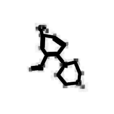 C=Nc1cc(C(F)(F)F)ccc1N1CCOCC1